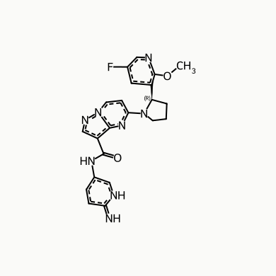 COc1ncc(F)cc1[C@H]1CCCN1c1ccn2ncc(C(=O)Nc3ccc(=N)[nH]c3)c2n1